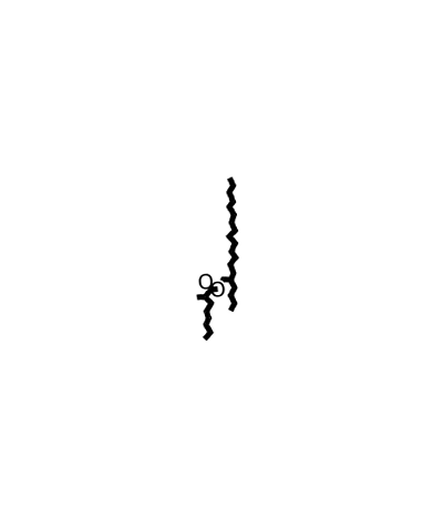 CCCCCCCCCCCCCCC(CCCC)COC(=O)C(C)CCCCCC